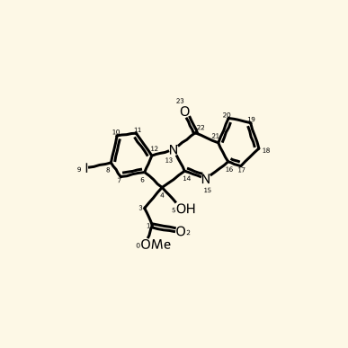 COC(=O)CC1(O)c2cc(I)ccc2-n2c1nc1ccccc1c2=O